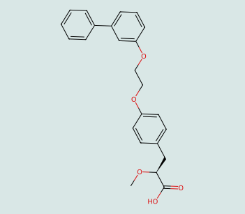 CO[C@@H](Cc1ccc(OCCOc2cccc(-c3ccccc3)c2)cc1)C(=O)O